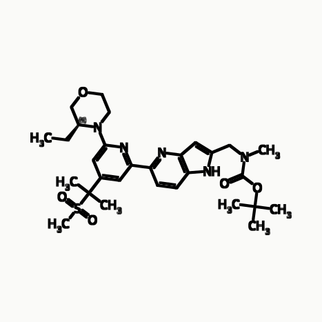 CC[C@H]1COCCN1c1cc(C(C)(C)S(C)(=O)=O)cc(-c2ccc3[nH]c(CN(C)C(=O)OC(C)(C)C)cc3n2)n1